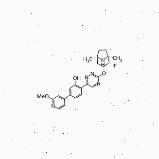 COc1cc(-c2ccc(-c3cnc(O[C@@H]4C[C@@]5(C)CC[C@](C)(N5)[C@@H]4F)nn3)c(O)c2)ccn1